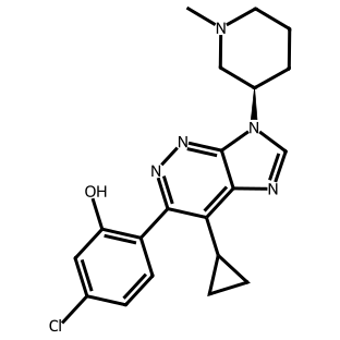 CN1CCC[C@@H](n2cnc3c(C4CC4)c(-c4ccc(Cl)cc4O)nnc32)C1